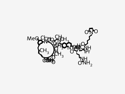 COc1cc2cc(c1Cl)N(C)C(=O)C[C@H](OC(=O)[C@H](C)N(C)C(=O)c1ccc3nc(NC(=O)[C@H](CCCNC(N)=O)NC[C@](C=O)(NC(=O)CCCCCN4C(=O)C=CC4=O)C(C)C)ccc3c1)[C@]1(C)O[C@H]1[C@H](C)[C@@H]1C[C@@](O)(NC(=O)O1)[C@H](OC)/C=C/C=C(\C)C2